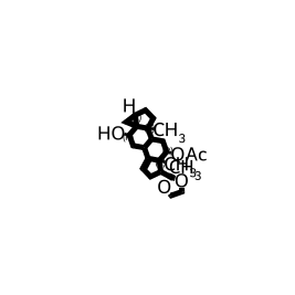 CC(=O)O[C@@H]1CC2C(C[C@@H](O)C34C[C@H]3CC[C@]24C)C2=CCC(C3(C)OCCO3)[C@]21C